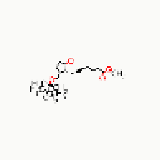 COC(=O)CCCC#CC[C@H]1C(=O)CCC1CO[Si](C)(C)C(C)(C)C